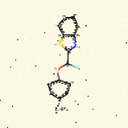 CC(=O)Nc1ccc(OC(F)c2nc3ccccc3s2)cc1